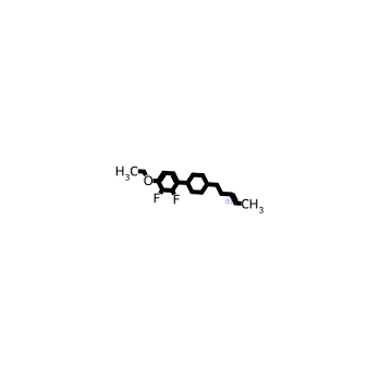 C/C=C/CCC1CCC(C2=CC=C(OCC)C(F)C2F)CC1